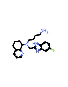 NCCCCN(Cc1nc2cc(F)ccc2[nH]1)C1CCCc2cccnc21